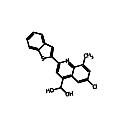 Cc1cc(Cl)cc2c(C(O)O)cc(-c3cc4ccccc4s3)nc12